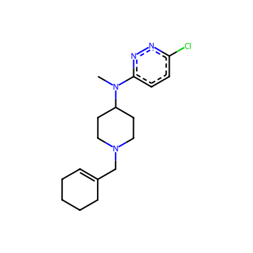 CN(c1ccc(Cl)nn1)C1CCN(CC2=CCCCC2)CC1